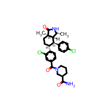 C[C@H]1NC(=O)[C@]2(C)CC[C@@H](c3ccc(C(=O)N4CCCC(C(N)=O)C4)cc3Cl)[C@H](c3ccc(Cl)cc3)[C@H]12